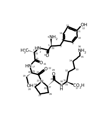 C[C@H](NC(=O)[C@@H](N)Cc1ccc(O)cc1)C(=O)N[C@@H](CO)C(=O)N1CCC[C@H]1C(=O)N[C@@H](CCCCN)C(=O)O